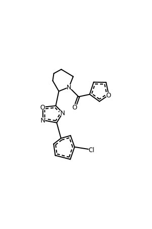 O=C(c1ccoc1)N1CCCCC1c1nc(-c2cccc(Cl)c2)no1